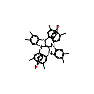 Cc1cc2c(cc1C)N(c1ccc(F)c(C)c1)C(=C1N(c3ccc(F)c(C)c3)c3cc(C)c(C)cc3N1c1ccc(F)c(C)c1)N2c1ccc(F)c(C)c1